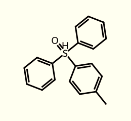 Cc1ccc([SH](=O)(c2ccccc2)c2ccccc2)cc1